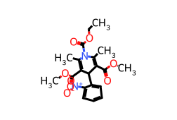 CCOC(=O)N1C(C)=C(C(=O)OC)C(c2ccccc2[N+](=O)[O-])C(C(=O)OC)=C1C